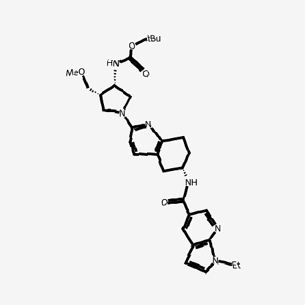 CCn1ccc2cc(C(=O)N[C@H]3CCc4nc(N5C[C@H](COC)[C@H](NC(=O)OC(C)(C)C)C5)ccc4C3)cnc21